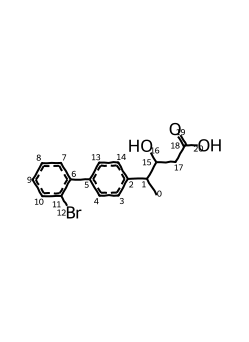 CC(c1ccc(-c2ccccc2Br)cc1)C(O)CC(=O)O